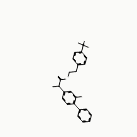 CC(C(=O)OCCc1ccc(C(F)(F)F)cc1)c1ccc(-c2ccccc2)c(F)c1